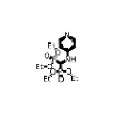 CCOP(=O)(OCC)C(Nc1ccncc1)P(=O)(OCC)OCC